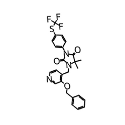 CC1(C)C(=O)N(c2ccc(SC(F)(F)F)cc2)C(=O)N1Cc1ccncc1OCc1ccccc1